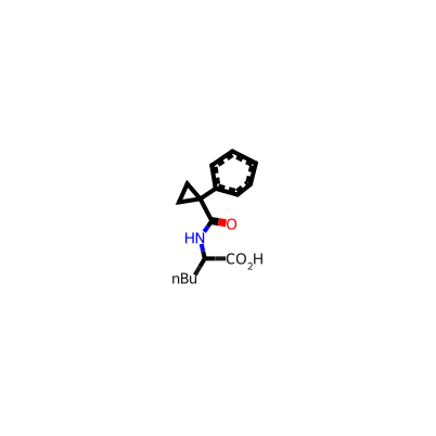 CCCCC(NC(=O)C1(c2ccccc2)CC1)C(=O)O